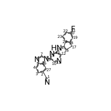 N#Cc1ccc2ncn(-c3cncc(NC4CCc5cc(F)ccc54)n3)c2c1